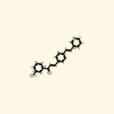 O=C(C=Cc1ccc(C=Cc2cccnc2)cc1)c1cccc(Cl)c1